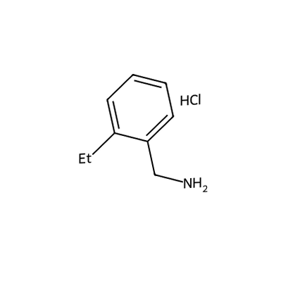 CCc1ccccc1CN.Cl